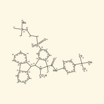 CC1(C(=O)Nc2ccc(C(O)(C(F)(F)F)C(F)(F)F)cc2)c2ccc(S(=O)(=O)CCO[Si](C)(C)C(C)(C)C)cc2C(C2c3ccccc3-c3ccccc32)N1C(=O)O